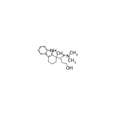 CN(C)CC(CCO)C1(C)CCCc2c1[nH]c1ccccc21